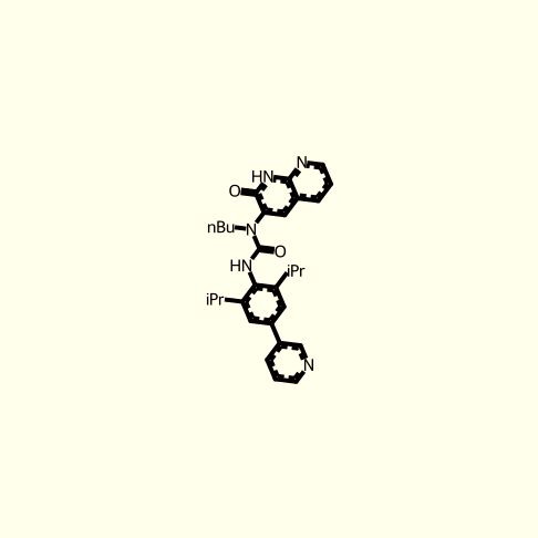 CCCCN(C(=O)Nc1c(C(C)C)cc(-c2cccnc2)cc1C(C)C)c1cc2cccnc2[nH]c1=O